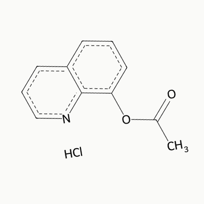 CC(=O)Oc1cccc2cccnc12.Cl